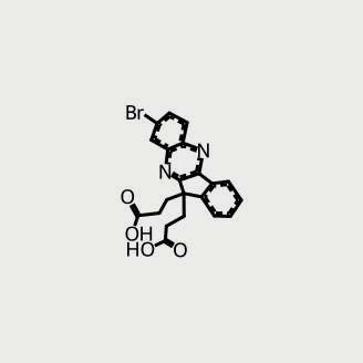 O=C(O)CCC1(CCC(=O)O)c2ccccc2-c2nc3ccc(Br)cc3nc21